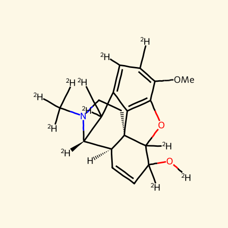 [2H]OC1([2H])C=C[C@@H]2[C@@]34CCN(C([2H])([2H])[2H])[C@]2([2H])C([2H])([2H])c2c([2H])c([2H])c(OC)c(c23)OC14[2H]